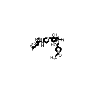 C=CC(=O)N1CCCC(C(O)Cn2c(C#N)cc3c(C)c(CN4CCC(Nc5ncnc6sc(CC(F)(F)F)cc56)CC4)ccc32)CC1